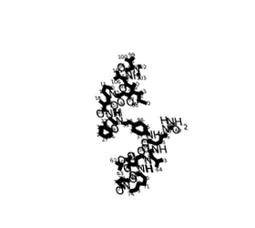 CCC(C)C(C(CC(=O)N1CCCC1C(OC)C(C)C(=O)N[C@@H](Cc1ccccc1)C(=O)NCCc1ccc(NC(=O)C(CCCNC(N)=O)NC(=O)C(NC(=O)C2OC3OC(C)(C)OC3C2NC(=O)CCCCCN2C(=O)C=CC2=O)C(C)C)cc1)OC)C(C)C(=O)C(NC(=O)C(C(C)C)N(C)C)C(C)C